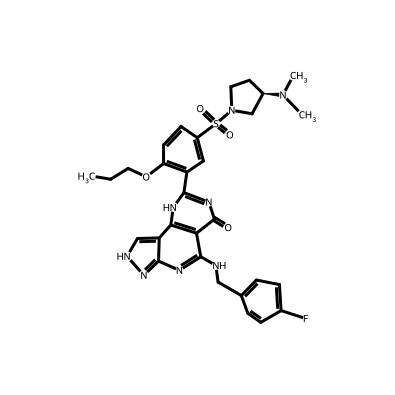 CCCOc1ccc(S(=O)(=O)N2CC[C@@H](N(C)C)C2)cc1-c1nc(=O)c2c(NCc3ccc(F)cc3)nc3n[nH]cc3c2[nH]1